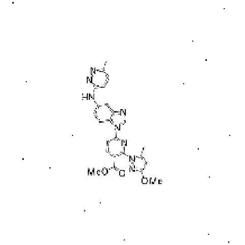 COC(=O)c1ccc(-n2cnc3cc(Nc4ccc(C)nn4)ccc32)nc1-n1nc(OC)cc1C